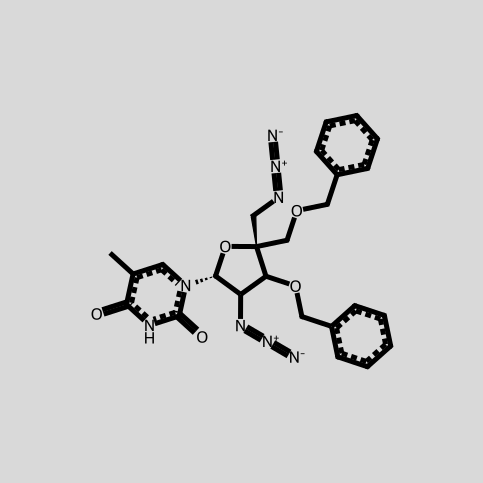 Cc1cn([C@@H]2O[C@](CN=[N+]=[N-])(COCc3ccccc3)C(OCc3ccccc3)C2N=[N+]=[N-])c(=O)[nH]c1=O